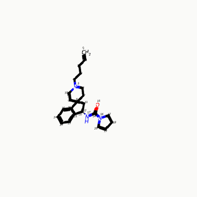 C=CCCCN1CCC2(CC1)C[C@H](NC(=O)N1CCCC1)c1ccccc12